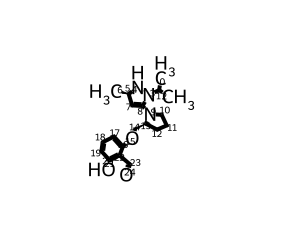 CC(C)N1N[C@H](C)C=C1N1CCC[C@H]1COc1cccc(O)c1C=O